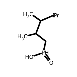 CC(C)C(C)C(C)C[PH](=O)O